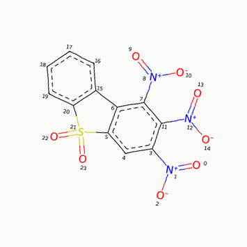 O=[N+]([O-])c1cc2c(c([N+](=O)[O-])c1[N+](=O)[O-])-c1ccccc1S2(=O)=O